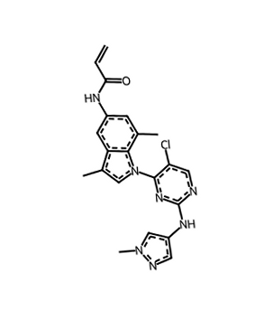 C=CC(=O)Nc1cc(C)c2c(c1)c(C)cn2-c1nc(Nc2cnn(C)c2)ncc1Cl